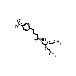 CCOC(CNC(=O)CCCc1ccc([N+](=O)[O-])cn1)OCC